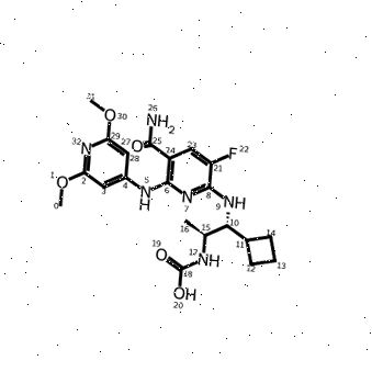 COc1cc(Nc2nc(N[C@H](C3CCC3)[C@H](C)NC(=O)O)c(F)cc2C(N)=O)cc(OC)n1